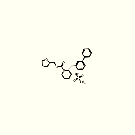 CS(=O)(=O)N[C@@H]1CCCN(C(=O)OCC2CCCO2)[C@@H]1Cc1cccc(-c2ccccc2)c1